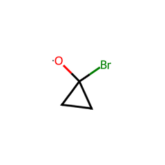 [O]C1(Br)CC1